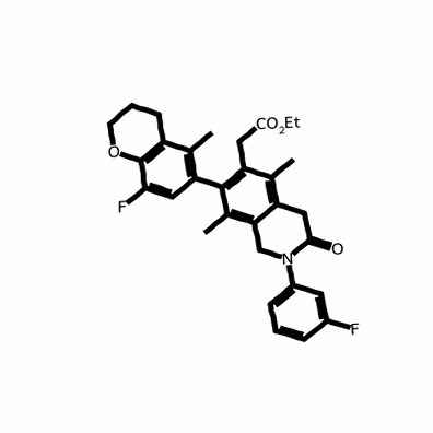 CCOC(=O)Cc1c(C)c2c(c(C)c1-c1cc(F)c3c(c1C)CCCO3)CN(c1cccc(F)c1)C(=O)C2